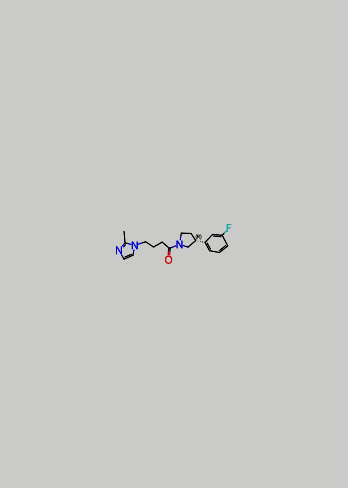 Cc1nccn1CCCC(=O)N1CC[C@H](c2cccc(F)c2)C1